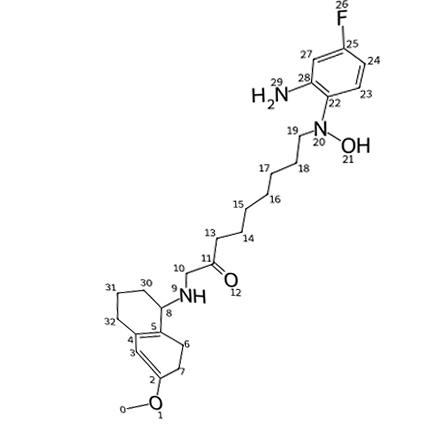 COC1=CC2=C(CC1)C(NCC(=O)CCCCCCCN(O)c1ccc(F)cc1N)CCC2